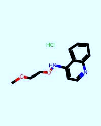 COCCONc1ccnc2ccccc12.Cl